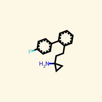 NC1(CCc2ccccc2-c2ccc(F)cc2)CC1